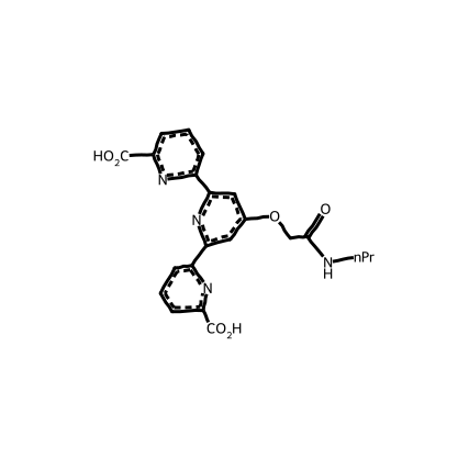 CCCNC(=O)COc1cc(-c2cccc(C(=O)O)n2)nc(-c2cccc(C(=O)O)n2)c1